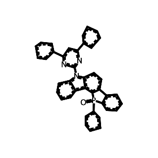 O=P1(c2ccccc2)c2ccccc2-c2ccc3c(c21)c1ccccc1n3-c1nc(-c2ccccc2)cc(-c2ccccc2)n1